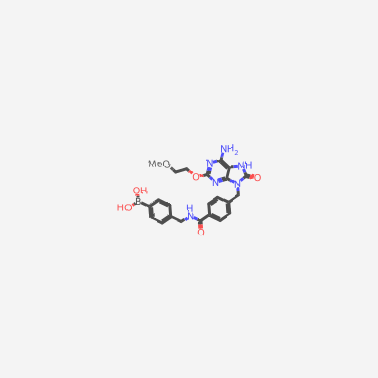 COCCOc1nc(N)c2[nH]c(=O)n(Cc3ccc(C(=O)NCc4ccc(B(O)O)cc4)cc3)c2n1